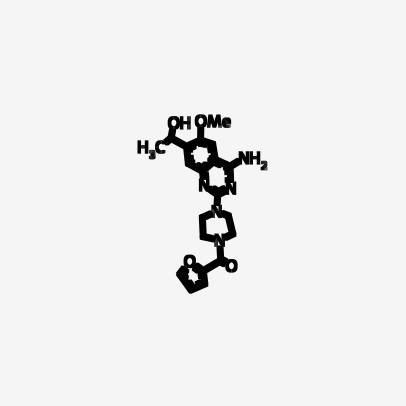 COc1cc2c(N)nc(N3CCN(C(=O)c4ccco4)CC3)nc2cc1C(C)O